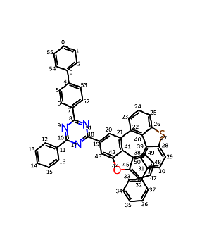 c1ccc(-c2ccc(-c3nc(-c4ccccc4)nc(-c4cc(-c5cccc6sc7ccc(-c8ccccc8)cc7c56)c5c(c4)oc4ccccc45)n3)cc2)cc1